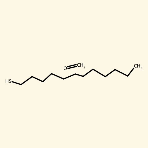 C=O.CCCCCCCCCCCCS